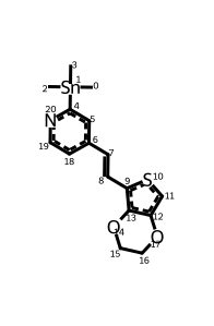 [CH3][Sn]([CH3])([CH3])[c]1cc(C=Cc2scc3c2OCCO3)ccn1